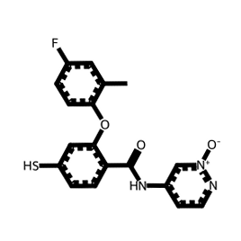 Cc1cc(F)ccc1Oc1cc(S)ccc1C(=O)Nc1ccn[n+]([O-])c1